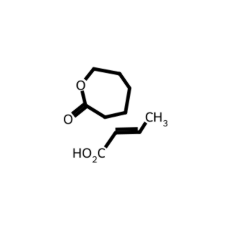 C/C=C/C(=O)O.O=C1CCCCCO1